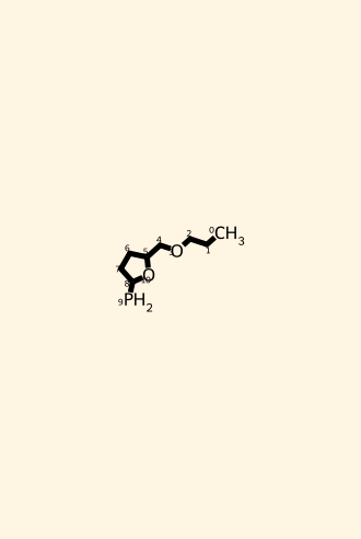 CCCOCC1CCC(P)O1